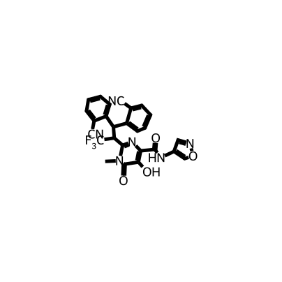 Cn1c(C(C(c2ccccc2C#N)c2ccccc2C#N)C(F)(F)F)nc(C(=O)Nc2cnoc2)c(O)c1=O